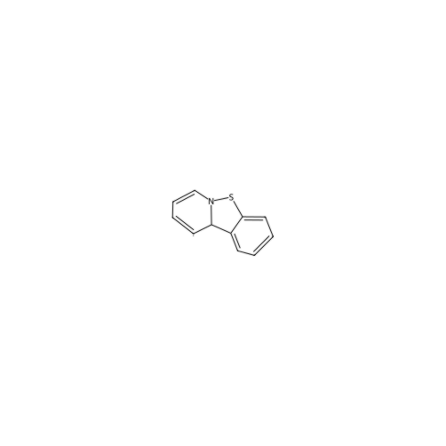 [C]1=CC=CN2Sc3ccccc3C12